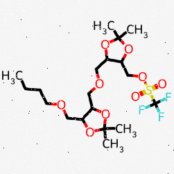 CCCCOCC1OC(C)(C)OC1COCC1OC(C)(C)OC1COS(=O)(=O)C(F)(F)F